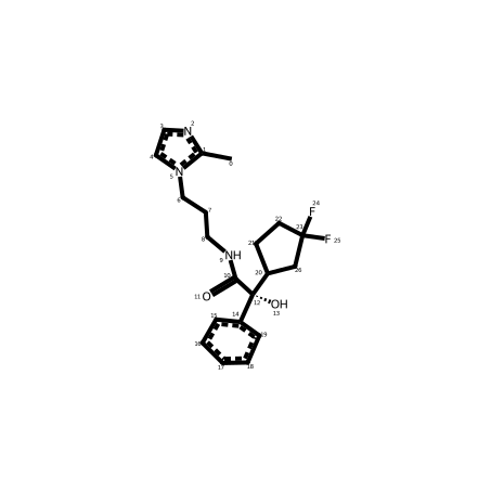 Cc1nccn1CCCNC(=O)[C@](O)(c1ccccc1)C1CCC(F)(F)C1